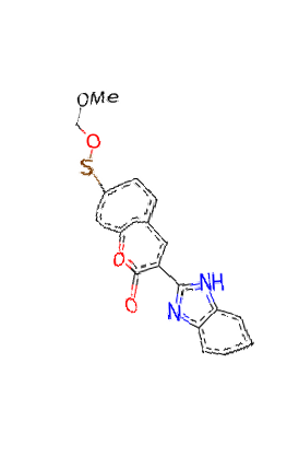 COCOSc1ccc2cc(-c3nc4ccccc4[nH]3)c(=O)oc2c1